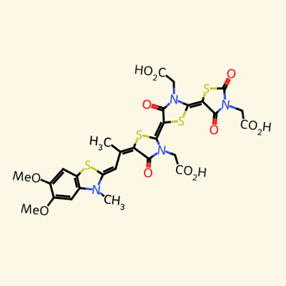 COc1cc2c(cc1OC)N(C)/C(=C/C(C)=c1/s/c(=c3/s/c(=C4/SC(=O)N(CC(=O)O)C4=O)n(CC(=O)O)c3=O)n(CC(=O)O)c1=O)S2